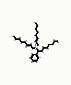 CCCCCC=CC[SiH](CC=CCCCCC)C(CCCCCCC)c1ccccc1